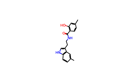 Cc1ccc(C(=O)NCCc2c[nH]c3ccc(C)cc23)c(O)c1